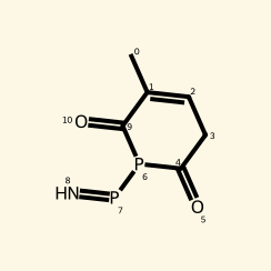 CC1=CCC(=O)P(P=N)C1=O